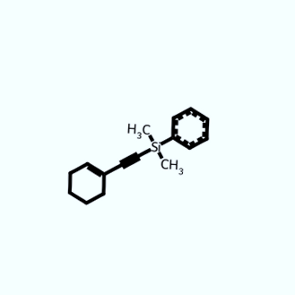 C[Si](C)(C#CC1=CCCCC1)c1ccccc1